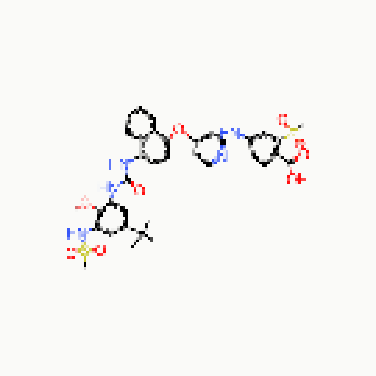 COc1c(NC(=O)Nc2ccc(Oc3ccnc(Nc4ccc(C(=O)O)c(S(C)(=O)=O)c4)c3)c3ccccc23)cc(C(C)(C)C)cc1NS(C)(=O)=O